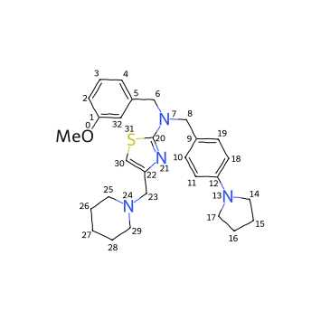 COc1cccc(CN(Cc2ccc(N3CCCC3)cc2)c2nc(CN3CCCCC3)cs2)c1